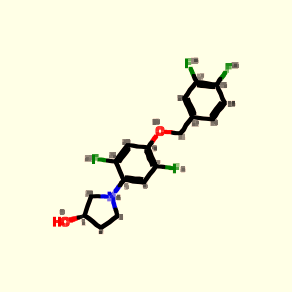 O[C@@H]1CCN(c2cc(F)c(OCc3ccc(F)c(F)c3)cc2F)C1